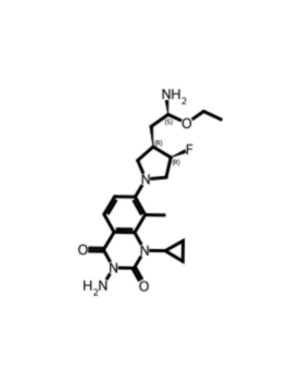 CCO[C@H](N)C[C@@H]1CN(c2ccc3c(=O)n(N)c(=O)n(C4CC4)c3c2C)C[C@@H]1F